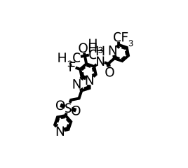 CC(C)(O)c1c(NC(=O)c2cccc(C(F)(F)F)n2)cn2cc(CCS(=O)(=O)c3ccncc3)nc2c1F